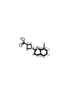 COC(=O)C1CN(c2ccc3cccc(C)c3n2)C1